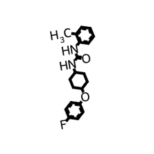 Cc1ccccc1NC(=O)NC1CCC(Oc2ccc(F)cc2)CC1